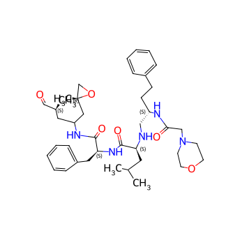 CC(C)C[C@H](NC[C@H](CCc1ccccc1)NC(=O)CN1CCOCC1)C(=O)N[C@@H](Cc1ccccc1)C(=O)NC(C[C@H](C)C=O)C[C@]1(C)CO1